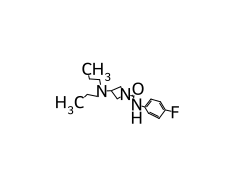 CCCN(CCC)C1CN(C(=O)Nc2ccc(F)cc2)C1